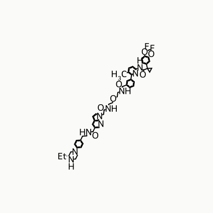 CC[C@@H]1CN(c2ccc(CCNC(=O)c3cnc4c(ccn4CC(=O)NCCOCCNC(=O)c4cccc(-c5nc(NC(=O)C6(c7ccc8c(c7)OC(F)(F)O8)CC6)ccc5C)c4)c3)cc2)CCN1